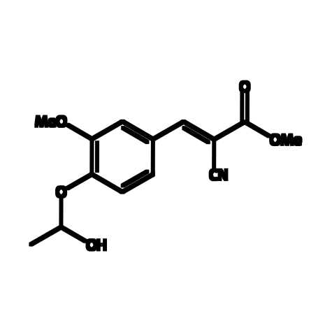 COC(=O)/C(C#N)=C/c1ccc(OC(C)O)c(OC)c1